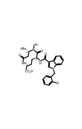 CCCC[C@@H](CC(N)=O)N(CCC)C(=O)[C@H](CCCC(=O)O)NC(=O)c1cn(Cc2ccccc2Cl)c2ccccc12